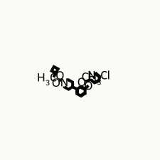 CC1(OC(=O)N2CCC(c3cccc4c3OC(C)(c3ccc(Cl)cn3)O4)CC2)CCC1